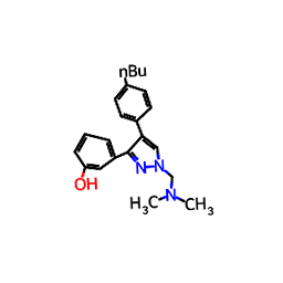 CCCCc1ccc(-c2cn(CN(C)C)nc2-c2cccc(O)c2)cc1